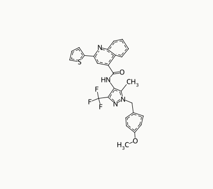 COc1ccc(Cn2nc(C(F)(F)F)c(NC(=O)c3cc(-c4cccs4)nc4ccccc34)c2C)cc1